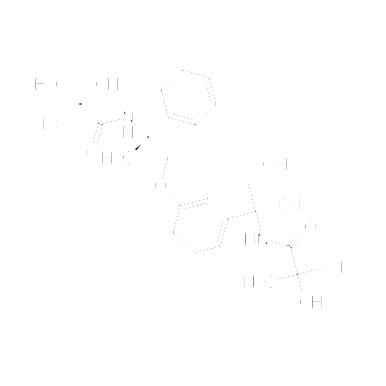 CC(C)(C)C(=O)N[C@](C)(CO)c1cccc(OC[C@](C)(NC(=O)C(C)(C)C)c2ccccc2)c1